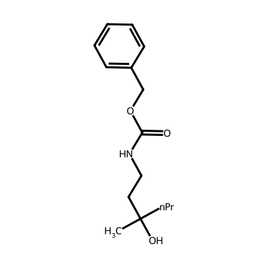 CCCC(C)(O)CCNC(=O)OCc1ccccc1